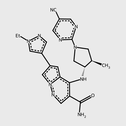 CCn1cc(-c2cc3c(N[C@@H]4CN(c5ncc(C#N)cn5)C[C@H]4C)c(C(N)=O)cnn3c2)cn1